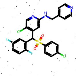 O=S(=O)(c1ccc(Cl)cc1)C(c1cc(F)ccc1F)c1cc(NCc2ccncc2)ncc1Cl